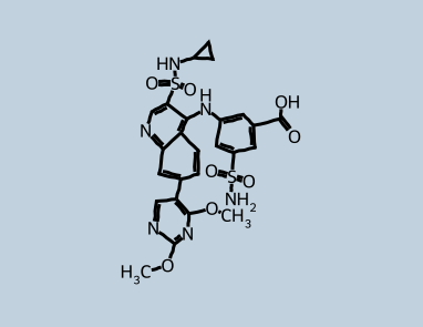 COc1ncc(-c2ccc3c(Nc4cc(C(=O)O)cc(S(N)(=O)=O)c4)c(S(=O)(=O)NC4CC4)cnc3c2)c(OC)n1